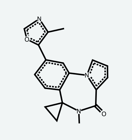 Cc1ncoc1-c1ccc2c(c1)-n1cccc1C(=O)N(C)C21CC1